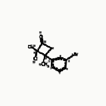 CC1(c2cccc(Br)c2)CC(=O)C1(Cl)Cl